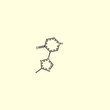 Cc1ncn(-c2c[nH]ccc2=O)n1